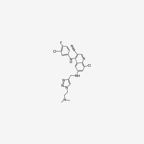 CN(C)CCn1cc(CNc2cc(Cl)c3ncc(C#N)c(Nc4ccc(F)c(Cl)c4)c3c2)nn1